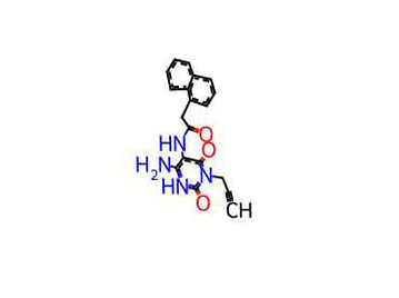 C#CCn1c(=O)[nH]c(N)c(NC(=O)Cc2cccc3ccccc23)c1=O